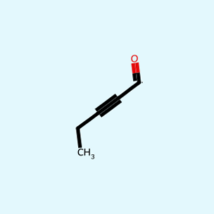 CCC#C[C]=O